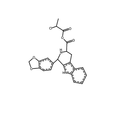 CC(Cl)C(=O)OC(=O)C1Cc2c([nH]c3ccccc23)C(c2ccc3c(c2)OCO3)N1